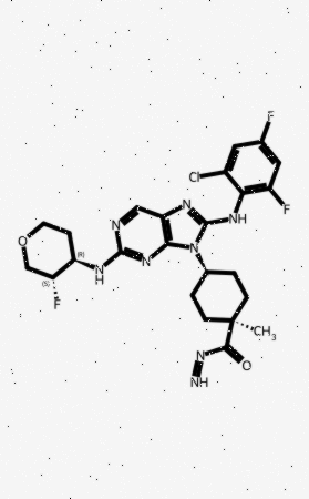 C[C@]1(C(=O)N=N)CC[C@@H](n2c(Nc3c(F)cc(F)cc3Cl)nc3cnc(N[C@@H]4CCOC[C@H]4F)nc32)CC1